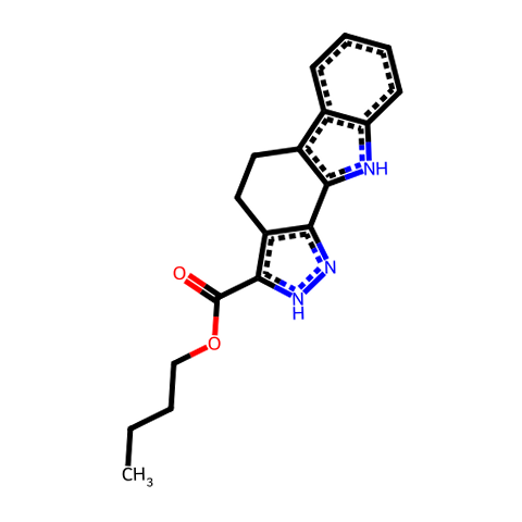 CCCCOC(=O)c1[nH]nc2c1CCc1c-2[nH]c2ccccc12